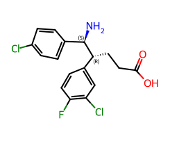 N[C@H](c1ccc(Cl)cc1)[C@H](CCC(=O)O)c1ccc(F)c(Cl)c1